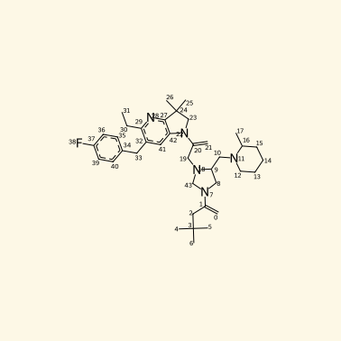 C=C(CC(C)(C)C)N1CC(CN2CCCCC2C)N(CC(=C)N2CC(C)(C)c3nc(CC)c(Cc4ccc(F)cc4)cc32)C1